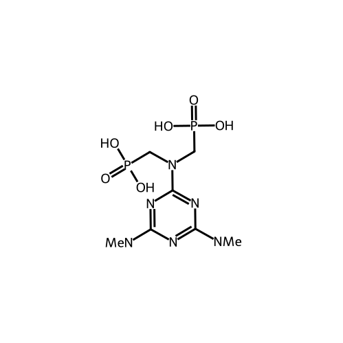 CNc1nc(NC)nc(N(CP(=O)(O)O)CP(=O)(O)O)n1